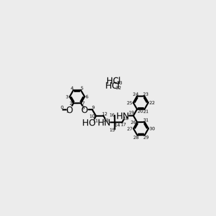 COc1ccccc1OCC(O)CNC(C)(C)CNC(c1ccccc1)c1ccccc1.Cl.Cl